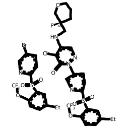 CCc1ccc(OC(F)(F)F)c(S(=O)(=O)c2ccc(-n3ncc(NC[C@@]4(F)CCCOC4)c(Cl)c3=O)cn2)c1.CCc1ccc(OC(F)(F)F)c(S(=O)(=O)c2ccc(Br)cn2)c1